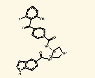 O=C(N[C@@H]1CNC[C@H]1NC(=O)c1ccc2[nH]ncc2c1)c1ccc(C(=O)c2c(O)cccc2F)cc1